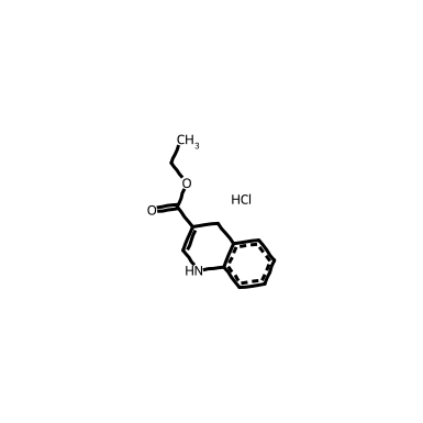 CCOC(=O)C1=CNc2ccccc2C1.Cl